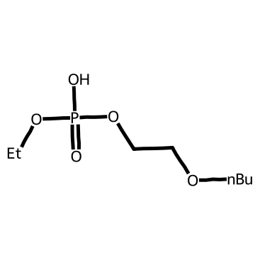 CCCCOCCOP(=O)(O)OCC